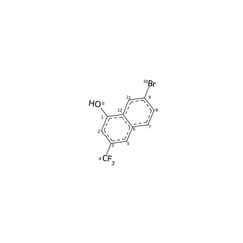 Oc1cc(C(F)(F)F)cc2ccc(Br)cc12